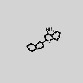 Nc1cc(-c2ccc3ccccc3c2)nc2ccccc12